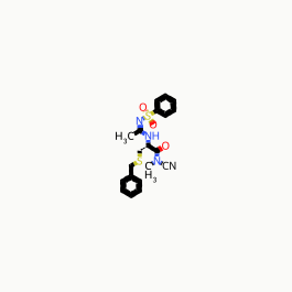 CC(=NS(=O)(=O)c1ccccc1)N[C@@H](CSCc1ccccc1)C(=O)N(C)C#N